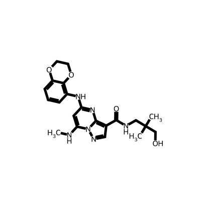 CNc1cc(Nc2cccc3c2OCCO3)nc2c(C(=O)NCC(C)(C)CO)cnn12